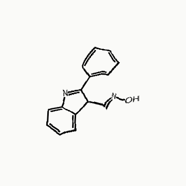 O/N=C/C1C(c2ccccc2)=Nc2ccccc21